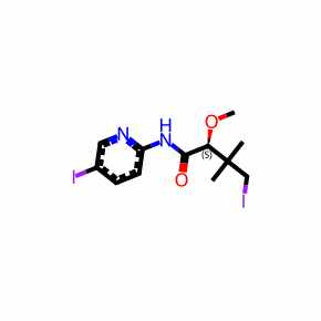 CO[C@H](C(=O)Nc1ccc(I)cn1)C(C)(C)CI